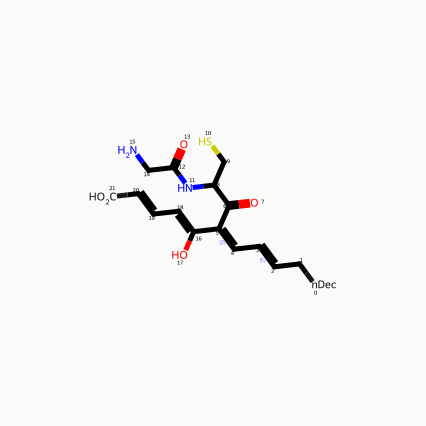 CCCCCCCCCCC/C=C/C=C(\C(=O)C(CS)NC(=O)CN)C(O)=CC=CC(=O)O